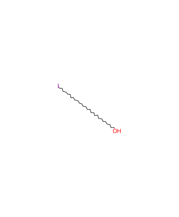 OCCCCCCCCCCCCCCCCCCCCCCCCCCCCI